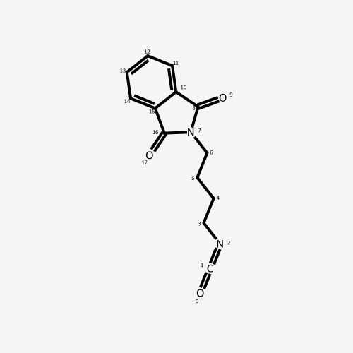 O=C=NCCCCN1C(=O)c2ccccc2C1=O